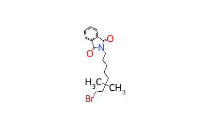 CC(C)(CCBr)CCCCCN1C(=O)c2ccccc2C1=O